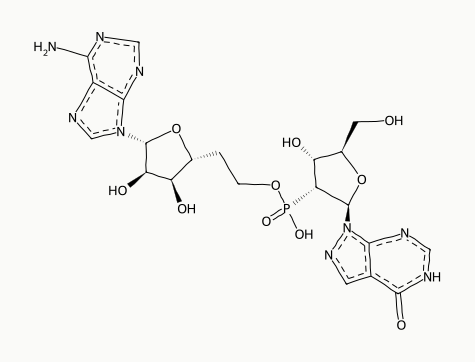 Nc1ncnc2c1ncn2[C@@H]1O[C@H](CCOP(=O)(O)[C@@H]2[C@H](O)[C@@H](CO)O[C@H]2n2ncc3c(=O)[nH]cnc32)[C@@H](O)[C@H]1O